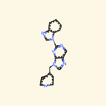 c1ccc2c(c1)ncn2-c1ncc2ncn(Cc3ccncc3)c2n1